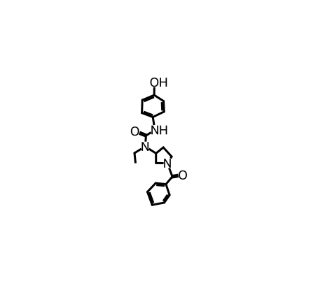 CCN(C(=O)Nc1ccc(O)cc1)C1CCN(C(=O)c2ccccc2)C1